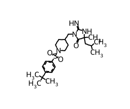 CC(C)CC1(C)NC(=N)N(CC2CCN(S(=O)(=O)c3ccc(C(C)(C)C)cc3)CC2)C1=O